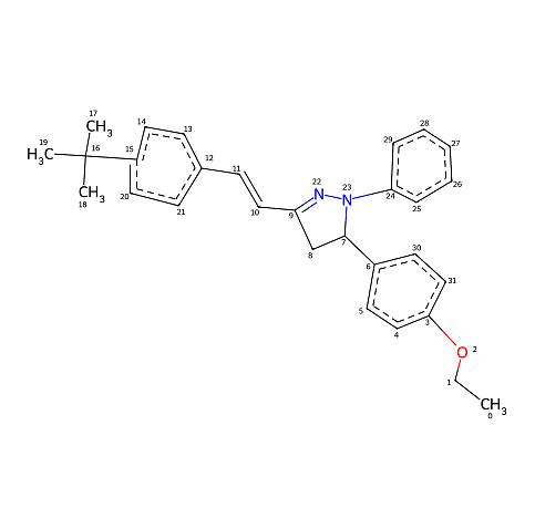 CCOc1ccc(C2CC(C=Cc3ccc(C(C)(C)C)cc3)=NN2c2ccccc2)cc1